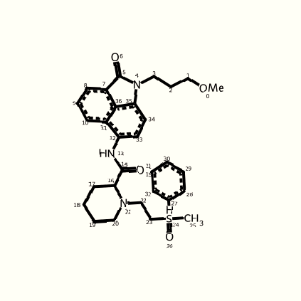 COCCCN1C(=O)c2cccc3c(NC(=O)C4CCCCN4CC[SH](C)(=O)c4ccccc4)ccc1c23